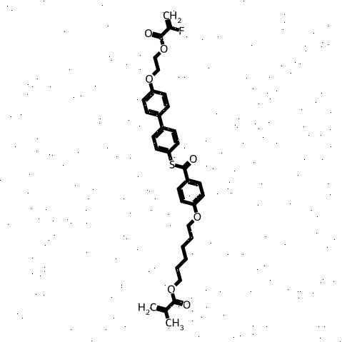 C=C(C)C(=O)OCCCCCCOc1ccc(C(=O)Sc2ccc(-c3ccc(OCCOC(=O)C(=C)F)cc3)cc2)cc1